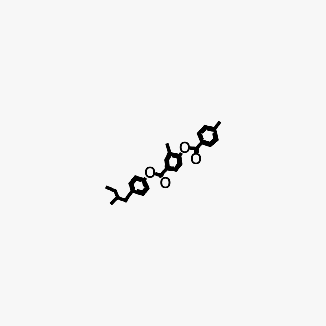 CCC(C)Cc1ccc(OC(=O)c2ccc(OC(=O)c3ccc(C)cc3)c(C)c2)cc1